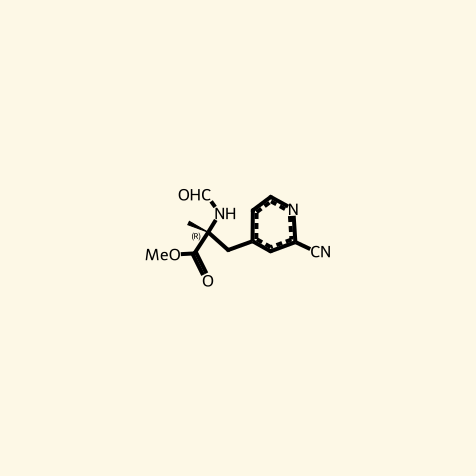 COC(=O)[C@@](C)(Cc1ccnc(C#N)c1)NC=O